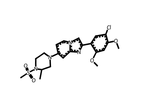 COc1cc(OC)c(-c2cn3ccc(N4CCN(S(C)(=O)=O)C(C)C4)cc3n2)cc1Cl